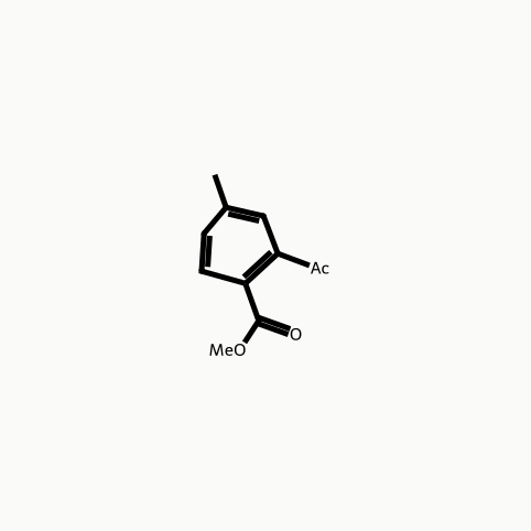 COC(=O)c1ccc(C)cc1C(C)=O